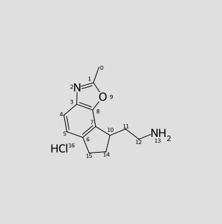 Cc1nc2ccc3c(c2o1)C(CCN)CC3.Cl